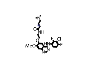 COc1cc2ncnc(Nc3ccc(F)c(Cl)c3F)c2cc1OCCNC(=O)/C=C/CN(C)C